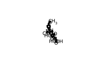 COCC1CCN(c2nc(Cl)nc3c2ncn3[C@H]2C(=O)[C@H](COCP(=O)(O)O)[C@H](O)[C@@H]2O)CC1